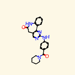 O=C1Cc2cnc(Nc3ccc(C(=O)N4CCCCC4)cc3)nc2-c2ccccc2N1